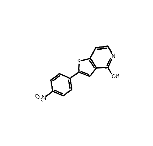 O=[N+]([O-])c1ccc(-c2cc3c(O)nccc3s2)cc1